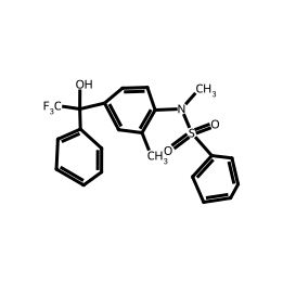 Cc1cc(C(O)(c2ccccc2)C(F)(F)F)ccc1N(C)S(=O)(=O)c1ccccc1